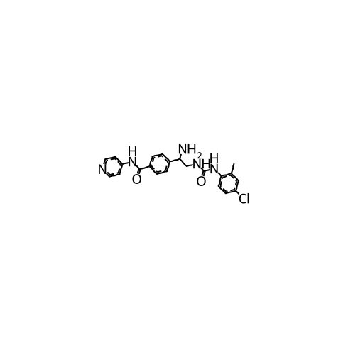 Cc1cc(Cl)ccc1NC(=O)NCC(N)c1ccc(C(=O)Nc2ccncc2)cc1